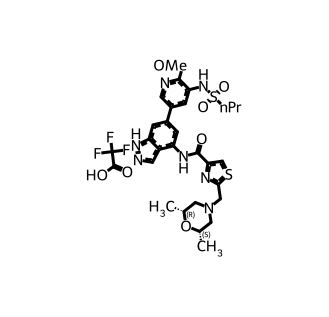 CCCS(=O)(=O)Nc1cc(-c2cc(NC(=O)c3csc(CN4C[C@@H](C)O[C@@H](C)C4)n3)c3cn[nH]c3c2)cnc1OC.O=C(O)C(F)(F)F